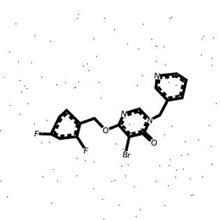 O=c1c(Br)c(OCc2ccc(F)cc2F)ncn1Cc1cccnc1